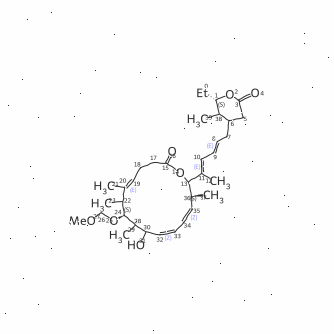 CC[C@@H]1OC(=O)CC(C/C=C/C=C(\C)C2OC(=O)CC/C=C(\C)C(C)[C@H](OCOC)C(C)C(O)/C=C\C=C/[C@@H]2C)C1C